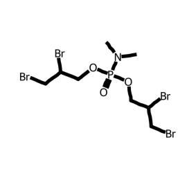 CN(C)P(=O)(OCC(Br)CBr)OCC(Br)CBr